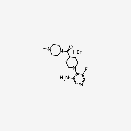 Br.CN1CCN(C(=O)C2CCN(c3c(N)cncc3F)CC2)CC1